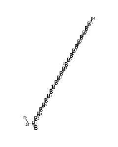 B#P(B=BB=BB=BB=BB=BB=BB=BB=BB=BB=BB=BI)CC